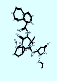 CCO[C@H]1OC(=O)CC1NC(=O)C1C2CC[C@H](C2)N1C(=O)C(NC(=O)c1nccc2c1C=CCC=C2)C(C)(C)C